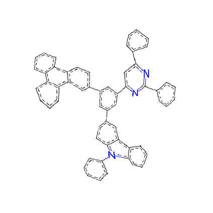 c1ccc(-c2cc(-c3cc(-c4ccc5c6ccccc6c6ccccc6c5c4)cc(-c4ccc5c(c4)c4ccccc4n5-c4ccccc4)c3)nc(-c3ccccc3)n2)cc1